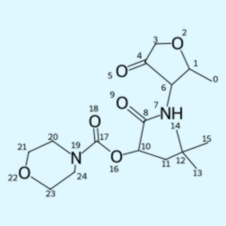 CC1OCC(=O)C1NC(=O)C(CC(C)(C)C)OC(=O)N1CCOCC1